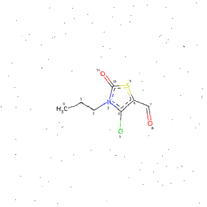 CCCn1c(Cl)c(C=O)sc1=O